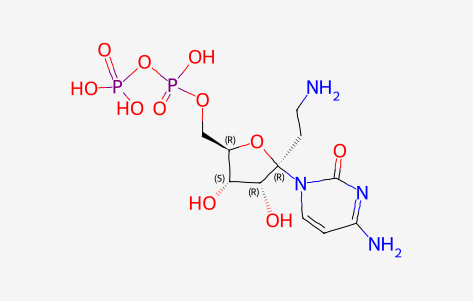 NCC[C@@]1(n2ccc(N)nc2=O)O[C@H](COP(=O)(O)OP(=O)(O)O)[C@@H](O)[C@H]1O